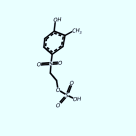 Cc1cc(S(=O)(=O)CCOS(=O)(=O)O)ccc1O